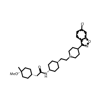 CO[C@]1(C)CC[C@H](CC(=O)N[C@H]2CC[C@H](CCN3CCC(c4noc5cc(Cl)ccc45)CC3)CC2)CC1